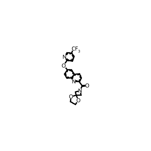 O=C(c1ccc2cc(Oc3ccc(C(F)(F)F)cn3)ccc2n1)N1CC2(C1)OCCO2